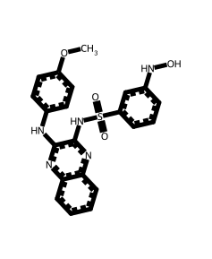 COc1ccc(Nc2nc3ccccc3nc2NS(=O)(=O)c2cccc(NO)c2)cc1